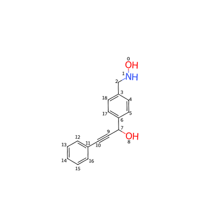 ONCc1ccc(C(O)C#Cc2ccccc2)cc1